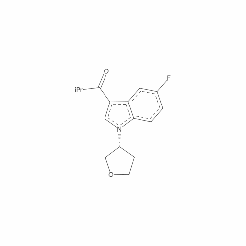 CC(C)C(=O)c1cn([C@@H]2CCOC2)c2ccc(F)cc12